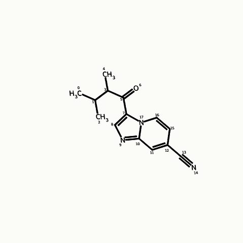 CC(C)C(C)C(=O)c1cnc2cc(C#N)ccn12